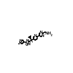 Cn1cc(-c2nc([C@@](C)(c3ccc(-c4cnc(CN)nc4)nc3)C3CC3)no2)cn1